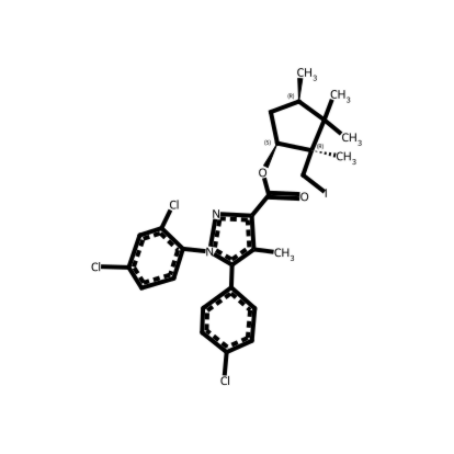 Cc1c(C(=O)O[C@H]2C[C@@H](C)C(C)(C)[C@@]2(C)CI)nn(-c2ccc(Cl)cc2Cl)c1-c1ccc(Cl)cc1